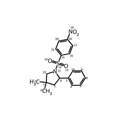 CC1(C)CC(c2ccccc2)N(S(=O)(=O)c2ccc([N+](=O)[O-])cc2)C1